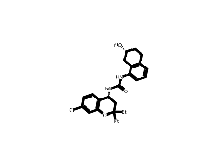 CCC1(CC)C[C@@H](NC(=O)Nc2cccc3c2C[C@H](O)CC3)c2ccc(Cl)cc2O1